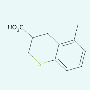 Cc1cccc2c1CC(C(=O)O)CS2